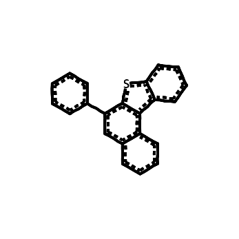 c1ccc(-c2cc3ccccc3c3c2sc2ccccc23)cc1